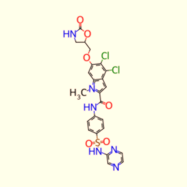 Cn1c(C(=O)Nc2ccc(S(=O)(=O)Nc3cnccn3)cc2)cc2c(Cl)c(Cl)c(OCC3CNC(=O)O3)cc21